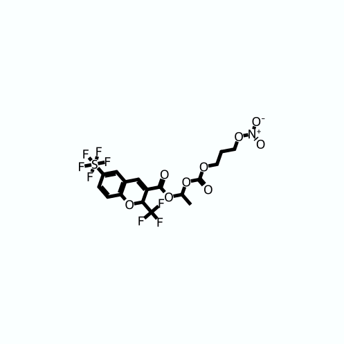 CC(OC(=O)OCCCO[N+](=O)[O-])OC(=O)C1=Cc2cc(S(F)(F)(F)(F)F)ccc2OC1C(F)(F)F